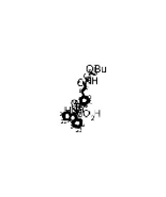 CC(C)COC(C)ONC(=O)C=Cc1cccc(S(=O)(=O)N[C@](C(=O)O)(c2ccccc2)C2CCCC2)c1